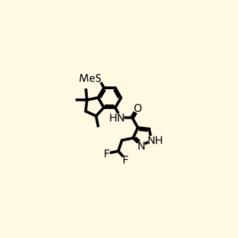 CSc1ccc(NC(=O)c2c[nH]nc2CC(F)F)c2c1C(C)(C)CC2C